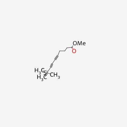 COC(=O)CCCC#CC#C[Si](C)(C)C